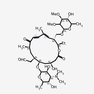 CC[C@H]1OC(=O)C[C@@H](O)C[C@@H](OC2OC(C)[C@@H](O)[C@@H](N(C)C)[C@@H]2O)[C@@H](CC=O)C[C@@H](C)C(=O)/C=C/C(C)=C/[C@@H]1CO[C@@H]1OC(C)[C@@H](O)[C@H](OC)C1OC